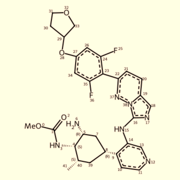 COC(=O)N[C@@H]1[C@H](N)C[C@H](c2ccncc2Nc2ncc3ccc(-c4c(F)cc(OC5CCOC5)cc4F)nn23)C[C@@H]1C